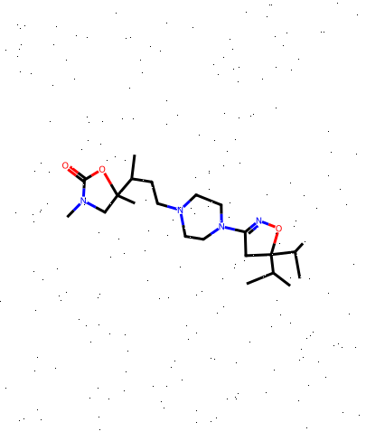 CC(CCN1CCN(C2=NOC(C(C)C)(C(C)C)C2)CC1)C1(C)CN(C)C(=O)O1